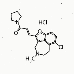 CN1CCc2c(Cl)ccc3oc(C=CC(=O)N4CCCC4)c(c23)C1.Cl